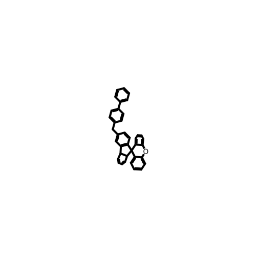 C1=CC2c3cc(Cc4ccc(-c5ccccc5)cc4)ccc3C3(c4ccccc4Oc4ccccc43)C2C=C1